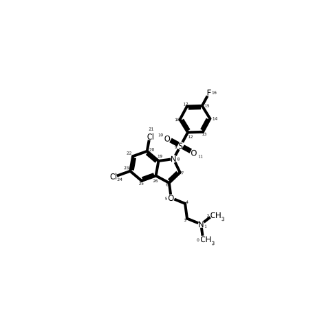 CN(C)CCOc1cn(S(=O)(=O)c2ccc(F)cc2)c2c(Cl)cc(Cl)cc12